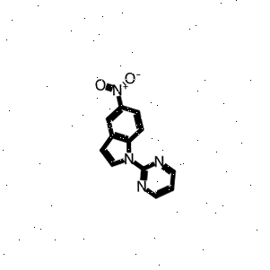 O=[N+]([O-])c1ccc2c(ccn2-c2ncccn2)c1